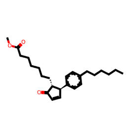 CCCCCCc1ccc([C@H]2C=CC(=O)[C@@H]2CCCCCCC(=O)OC)cc1